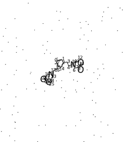 c1cc(CCN(CC2CO2)CC2CO2)cc(CCN(CC2CO2)CC2CO2)c1